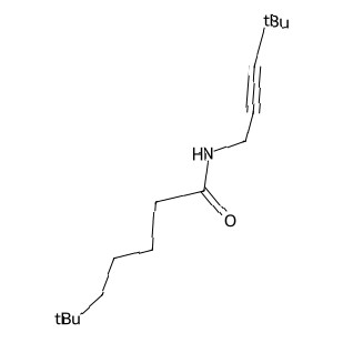 CC(C)(C)C#CCNC(=O)CCCCC(C)(C)C